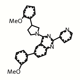 COc1cccc(-c2ccc3nc(-c4cccnc4)nc(N4CCC(c5ccccc5OC)C4)c3c2)c1